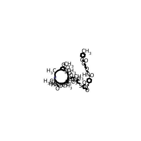 COc1cc2cc(c1Cl)N(C)C(=O)C[C@H](OC(=O)[C@H](C)N(C)C(=O)CCS[C@H]1CC(=O)N(C[C@H]3CC[C@H](C(=O)NCCOCCOC(=O)Oc4ccc(C)cc4)CC3)C1=O)[C@]1(C)C[C@H]1[C@H](C)[C@@H]1C[C@@](O)(NC(=O)O1)[C@H](OC)/C=C/CC(C)C2